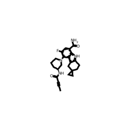 CC#CC(=O)N[C@H]1CCCN(c2c(F)cc(C(N)=O)c3[nH]c4c(c23)CC2(CC4)CC2)C1